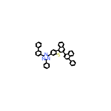 c1ccc(-c2cccc(-c3nc(-c4ccccc4)nc(-c4ccc5c(c4)sc4c(-c6ccc(-c7ccccc7)c7ccccc67)cc6ccccc6c45)n3)c2)cc1